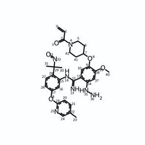 C=CC(=O)N1CCC(Oc2cc(C(=N)Nc3cc(Oc4ccc(C)cn4)ccc3C(C)(C)N=O)c(NN)cc2OC)CC1